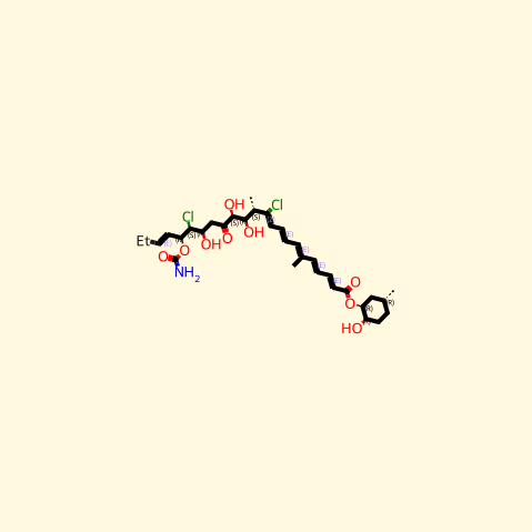 CC/C=C/[C@@H](OC(N)=O)[C@@H](Cl)[C@H](O)CC(=O)[C@@H](O)[C@H](O)[C@H](C)/C(Cl)=C/C=C/C=C(C)/C=C/C=C/C(=O)O[C@@H]1C[C@H](C)CC[C@H]1O